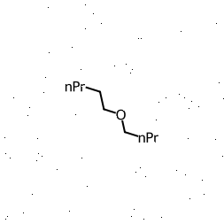 C[CH]CCOCCCCC